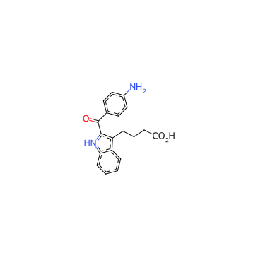 Nc1ccc(C(=O)c2[nH]c3ccccc3c2CCCC(=O)O)cc1